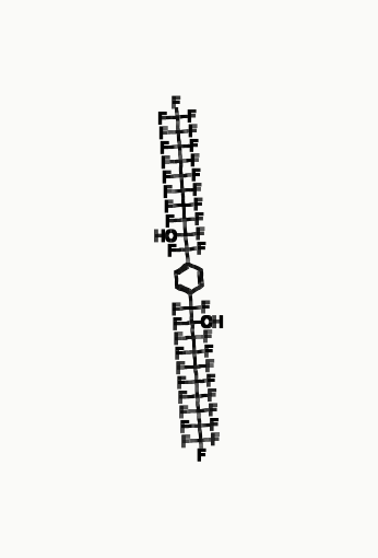 OC(F)(C(F)(F)c1ccc(C(F)(F)C(O)(F)C(F)(F)C(F)(F)C(F)(F)C(F)(F)C(F)(F)C(F)(F)C(F)(F)C(F)(F)F)cc1)C(F)(F)C(F)(F)C(F)(F)C(F)(F)C(F)(F)C(F)(F)C(F)(F)C(F)(F)F